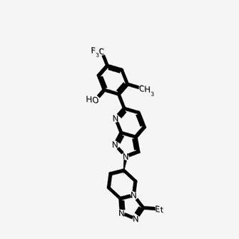 CCc1nnc2n1C[C@H](n1cc3ccc(-c4c(C)cc(C(F)(F)F)cc4O)nc3n1)CC2